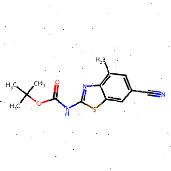 Bc1cc(C#N)cc2sc(NC(=O)OC(C)(C)C)nc12